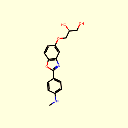 CNc1ccc(-c2nc3cc(OC[C@@H](O)CO)ccc3o2)cc1